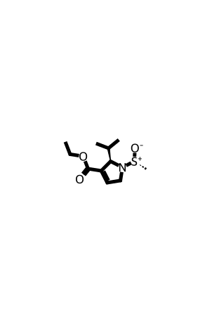 CCOC(=O)C1=CCN([S@@+](C)[O-])[C@@H]1C(C)C